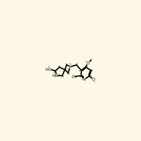 COc1cc(Cl)nc(Cl)c1CN1CC2(CNC(O)C2)C1